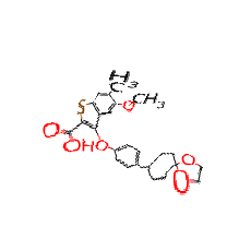 COc1cc2c(Oc3ccc(C4CCC5(CC4)OCCO5)cc3)c(C(=O)O)sc2cc1C